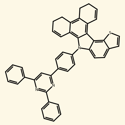 C1=Cc2c(c3c(c4c2c2c5sccc5ccc2n4-c2ccc(-c4cc(-c5ccccc5)nc(-c5ccccc5)n4)cc2)C=CCC3)CC1